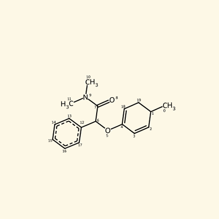 CC1C=CC(OC(C(=O)N(C)C)c2ccccc2)=CC1